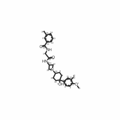 COc1ccc(C2(O)CCC(N3CC(NC(=O)CNC(=O)c4cccc(C)c4)C3)CC2)cc1F